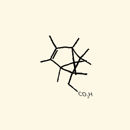 CC1=C(C)C2(C)C(C)(C)C1(C)C(C)(C)C2(C)CC(=O)O